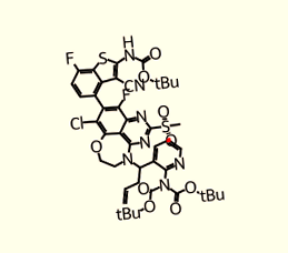 C=CCC(c1cccnc1N(C(=O)OC(C)(C)C)C(=O)OC(C)(C)C)N1CCOc2c(Cl)c(-c3ccc(F)c4sc(NC(=O)OC(C)(C)C)c(C#N)c34)c(F)c3nc(S(C)(=O)=O)nc1c23